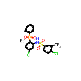 CCOP(=O)(c1ccccc1)c1ccc(Cl)cc1NS(=O)(=O)c1ccc(Cl)c(C(F)(F)F)c1